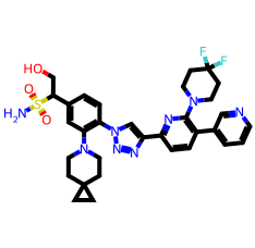 NS(=O)(=O)C(CO)c1ccc(-n2cc(-c3ccc(-c4cccnc4)c(N4CCC(F)(F)CC4)n3)nn2)c(N2CCC3(CC2)CC3)c1